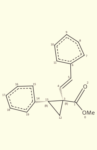 COC(=O)[C@@]1(C=Cc2ccccc2)C[C@@H]1c1ccccc1